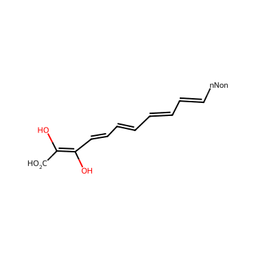 CCCCCCCCCC=CC=CC=CC=CC(O)=C(O)C(=O)O